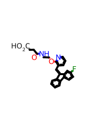 O=C(O)CCC(=O)NCCOc1ncccc1C=C1c2ccccc2-c2ccc(F)cc21